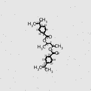 CC(CC(C)OC(=O)c1ccc(C(C)C)cc1)OC(=O)c1ccc(C(C)C)cc1